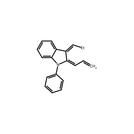 C=C/C=c1\c(=C/CC)c2ccccc2n1-c1ccccc1